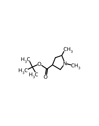 CC1CC(C(=O)OC(C)(C)C)CN1C